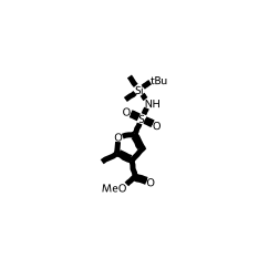 COC(=O)c1cc(S(=O)(=O)N[Si](C)(C)C(C)(C)C)oc1C